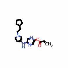 C=CC(=O)Oc1cnc(N[C@@H]2CCN(CCC3CCCC3)C2)cn1